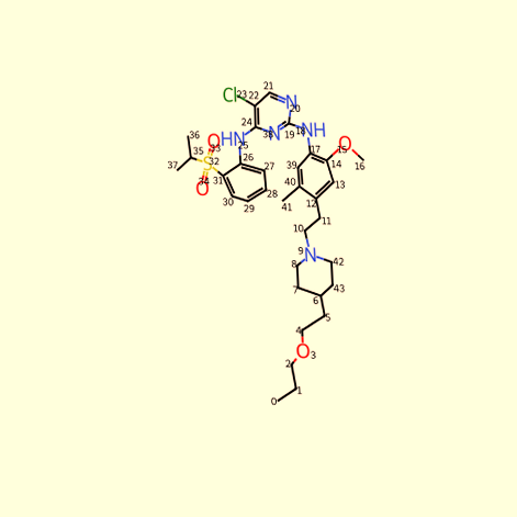 CCCOCCC1CCN(CCc2cc(OC)c(Nc3ncc(Cl)c(Nc4ccccc4S(=O)(=O)C(C)C)n3)cc2C)CC1